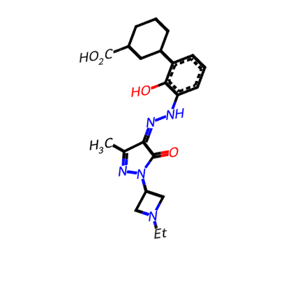 CCN1CC(N2N=C(C)C(=NNc3cccc(C4CCCC(C(=O)O)C4)c3O)C2=O)C1